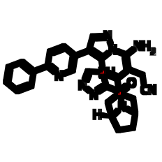 N#CCc1c(C2CC3CC[C@H](C2)N3C(=O)c2nnc[nH]2)nc2c(-c3ccc(-c4ccccc4)nc3)cnn2c1N